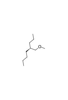 CCCC[C@@H](CCC)COC